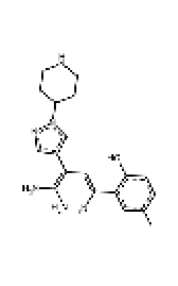 NC(N)=C(/C=C(\N)c1cc(F)ccc1O)c1cnn(C2CCNCC2)c1